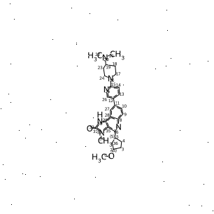 CO[C@H]1CC[C@H](c2nc3ccc(-c4ccc(N5CCC(N(C)C)CC5)nc4)cc3c3[nH]c(=O)n(C)c23)C1